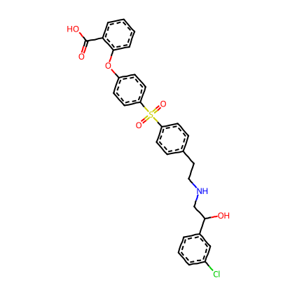 O=C(O)c1ccccc1Oc1ccc(S(=O)(=O)c2ccc(CCNCC(O)c3cccc(Cl)c3)cc2)cc1